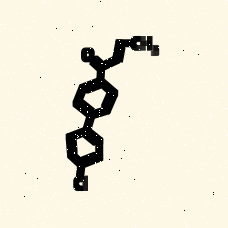 C/C=C/C(=O)c1ccc(-c2ccc(Cl)cc2)cc1